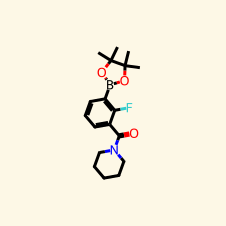 CC1(C)OB(c2cccc(C(=O)N3CCCCC3)c2F)OC1(C)C